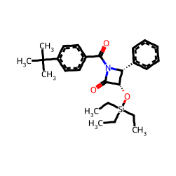 CC[Si](CC)(CC)O[C@@H]1C(=O)N(C(=O)c2ccc(C(C)(C)C)cc2)[C@@H]1c1ccccc1